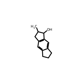 CC1Cc2cc3c(cc2C1O)CCC3